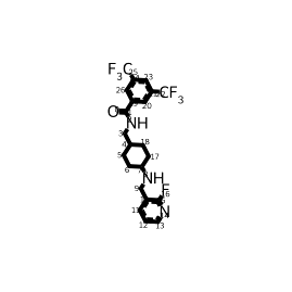 O=C(NCC1CCC(NCc2cccnc2F)CC1)c1cc(C(F)(F)F)cc(C(F)(F)F)c1